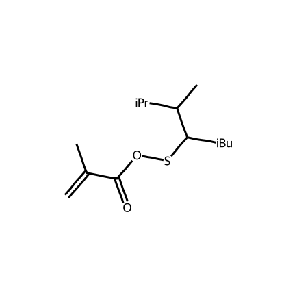 C=C(C)C(=O)OSC(C(C)CC)C(C)C(C)C